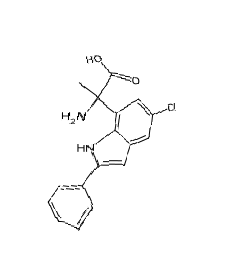 CC(N)(C(=O)O)c1cc(Cl)cc2cc(-c3ccccc3)[nH]c12